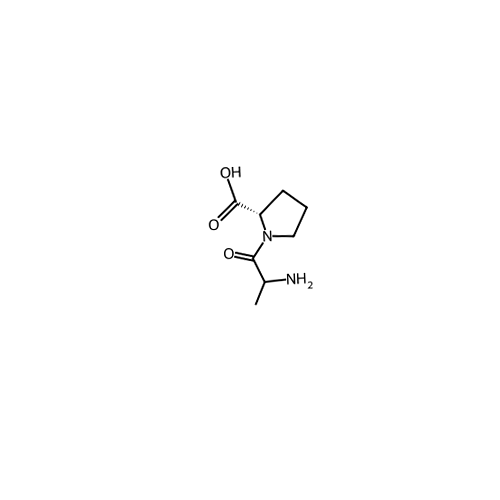 CC(N)C(=O)N1CCC[C@H]1C(=O)O